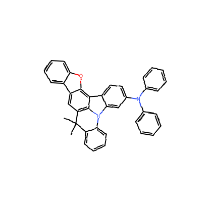 CC1(C)c2ccccc2-n2c3cc(N(c4ccccc4)c4ccccc4)ccc3c3c4oc5ccccc5c4cc1c32